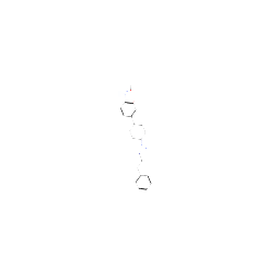 O=CC1Nc2ccc(C3CCC(NCCCc4ccccc4)CC3)cc2O1